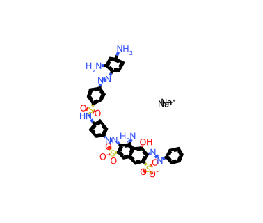 Nc1ccc(N=Nc2ccc(S(=O)(=O)Nc3ccc(N=Nc4c(S(=O)(=O)[O-])cc5cc(S(=O)(=O)[O-])c(N=Nc6ccccc6)c(O)c5c4N)cc3)cc2)c(N)c1.[Na+].[Na+]